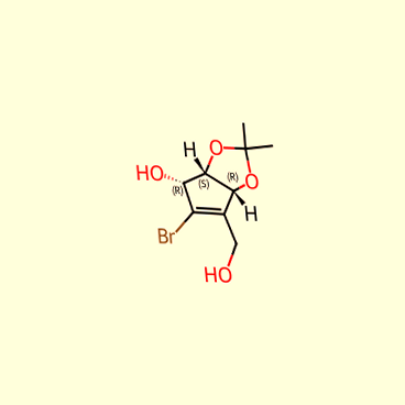 CC1(C)O[C@@H]2[C@H](O1)C(CO)=C(Br)[C@@H]2O